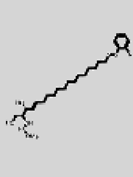 COBN[C@@H](CO)[C@H](O)/C=C/CCCCCCCCCCCCCSSc1ccccc1[N+](=O)[O-]